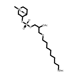 CCCCCCCCCCCCCCCCCCOCC(COP(=O)([O-])OC1C[N+]2(C)CCC1CC2)OC(C)=O